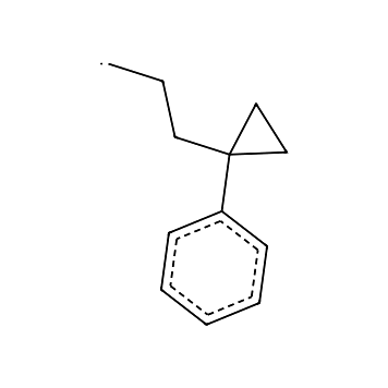 [CH2]CCC1(c2ccccc2)CC1